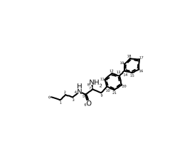 CCCCNC(=O)[C@@H](N)Cc1ccc(-c2ccccc2)cc1